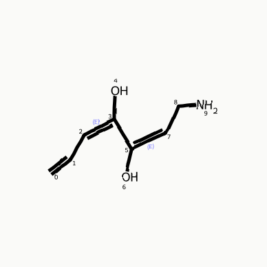 C=C/C=C(O)\C(O)=C/CN